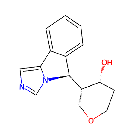 O[C@@H]1CCOC[C@@H]1[C@@H]1c2ccccc2-c2cncn21